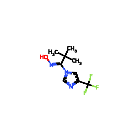 CC(C)(C)C(=NO)n1cnc(C(F)(F)F)c1